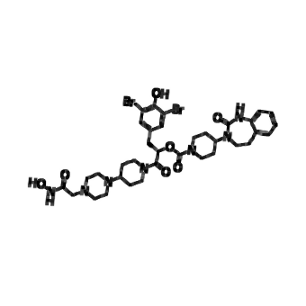 O=C(CN1CCN(C2CCN(C(=O)[C@@H](Cc3cc(Br)c(O)c(Br)c3)OC(=O)N3CCC(N4CCc5ccccc5NC4=O)CC3)CC2)CC1)NO